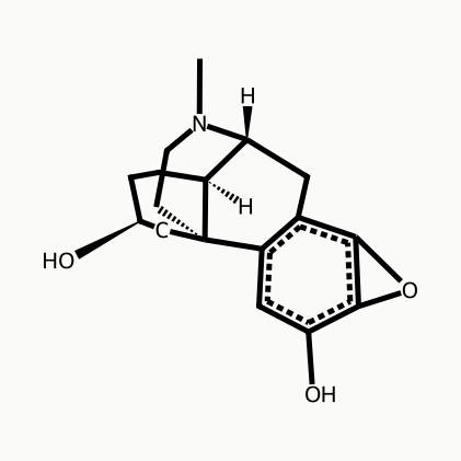 CN1CC[C@]23C[C@@H](O)CC[C@H]2[C@H]1Cc1c3cc(O)c2c1O2